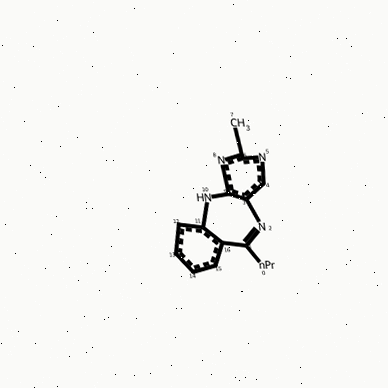 CCCC1=Nc2cnc(C)nc2Nc2ccccc21